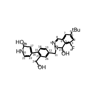 CC(C)(C)c1cc(F)c2c(c1)C=NN(Cc1ccc(C3=CC(O)NC=C3)c(CO)c1)C2O